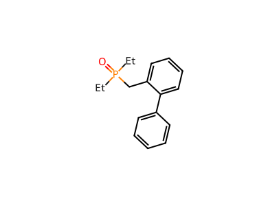 CCP(=O)(CC)Cc1ccccc1-c1ccccc1